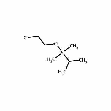 CC(C)[Si](C)(C)OCCCl